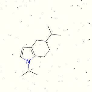 CC(C)C1CCc2c(ccn2C(C)C)C1